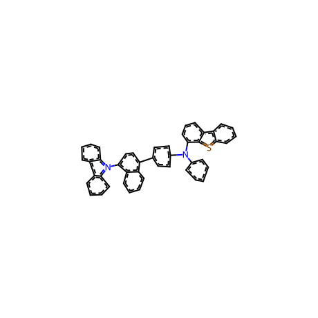 c1ccc(N(c2ccc(-c3ccc(-n4c5ccccc5c5ccccc54)c4ccccc34)cc2)c2cccc3c2sc2ccccc23)cc1